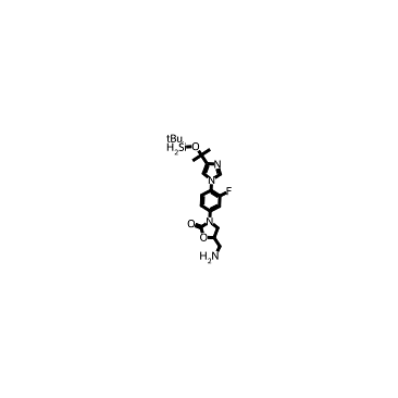 CC(C)(C)[SiH2]OC(C)(C)c1cn(-c2ccc(N3CC(CN)OC3=O)cc2F)cn1